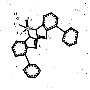 CC1=Cc2c(-c3ccccc3)cccc2[CH]1[Hf+2]([CH3])([CH3])(=[SiH2])[CH]1C(C)=Cc2c(-c3ccccc3)cccc21.[Cl-].[Cl-]